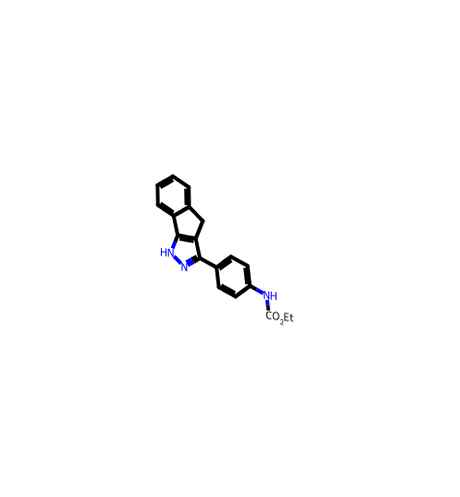 CCOC(=O)Nc1ccc(-c2n[nH]c3c2Cc2ccccc2-3)cc1